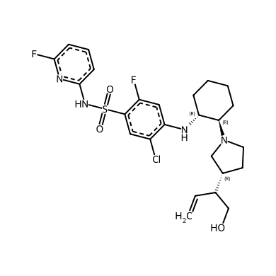 C=CC(CO)[C@H]1CCN([C@@H]2CCCC[C@H]2Nc2cc(F)c(S(=O)(=O)Nc3cccc(F)n3)cc2Cl)C1